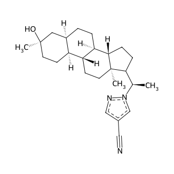 C[C@H](C1CC[C@H]2[C@@H]3CC[C@@H]4C[C@](C)(O)CC[C@@H]4[C@H]3CC[C@]12C)n1cc(C#N)cn1